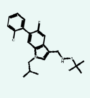 CC(C)Cn1cc(CNSC(C)(C)C)c2cc(F)c(-c3ccccc3Cl)cc21